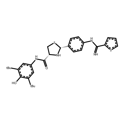 CC(C)(C)c1cc(NC(=O)[C@@H]2CS[C@H](c3ccc(NC(=N)c4cccs4)cc3)N2)cc(C(C)(C)C)c1O